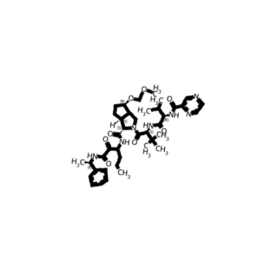 CCCC(NC(=O)[C@@H]1[C@H]2CC[C@@H](OCOC)C2CN1C(=O)[C@@H](NC(=O)[C@H](NC(=O)c1cnccn1)C(C)C)C(C)(C)C)C(=O)C(=O)N[C@H](C)c1ccccc1